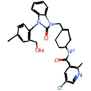 Cc1ccc(-n2c(=O)n(CC3CCC(NC(=O)c4cc(Cl)cnc4C)CC3)c3ccccc32)c(CO)c1